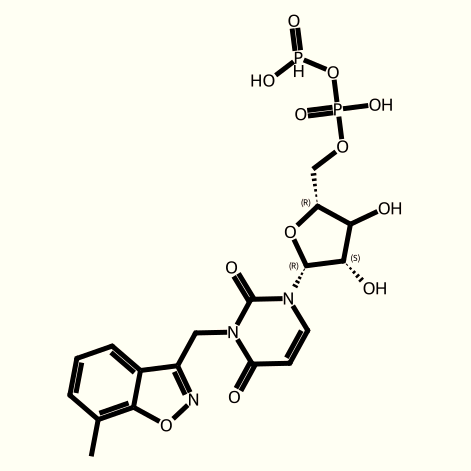 Cc1cccc2c(Cn3c(=O)ccn([C@@H]4O[C@H](COP(=O)(O)O[PH](=O)O)C(O)[C@@H]4O)c3=O)noc12